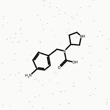 Nc1ccc(CN(C(=O)O)C2CCNC2)cc1